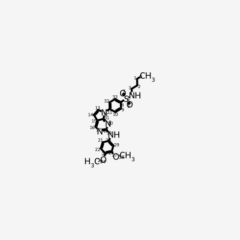 CCCCNS(=O)(=O)c1ccc(-n2ccc3cnc(Nc4ccc(OC)c(OC)c4)nc32)cc1